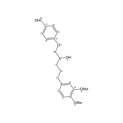 COc1ccc(CCCC(O)COc2ccc(C=O)cc2)cc1OC